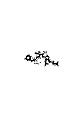 C#C[C@@]1(O)C(COC(Cc2ccccc2)(C(=O)O)C(=O)O)O[C@@H](n2cnc3c(NCC4CC4)nc(Cl)nc32)[C@@H]1O